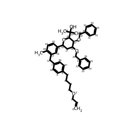 C=CCOCCCCc1ccc(Cc2cc(C3CC(OCc4ccccc4)[C@H](OCc4ccccc4)C(C(C)(C)O)O3)ccc2C)cc1